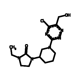 CCN1CCN(C2CCCN(c3nnc(CO)c(Cl)n3)C2)C1=O